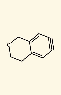 c1cc2c(cc#1)COCC2